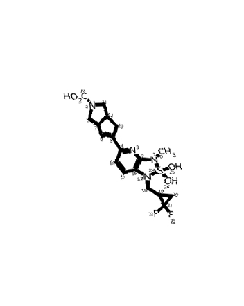 CN1c2nc(C3=CC4CN(C(=O)O)CC4C3)ccc2N(CC2CC2(F)F)S1(O)O